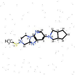 CSN1CCn2c(nc3cc(N4CC5CCCC5C4)cnc32)C1